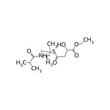 CCOC(=O)C(O)CC(=O)SC(C)(C)CNC(=O)C(C)C